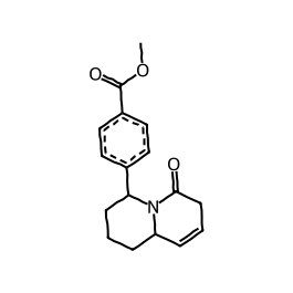 COC(=O)c1ccc(C2CCCC3C=CCC(=O)N32)cc1